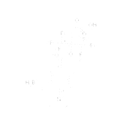 BCc1cc(C(=O)OC(CS(=O)(=O)O)(C(F)(F)F)C(F)(F)F)ccc1N(C)C